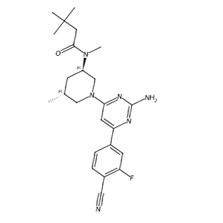 C[C@@H]1C[C@@H](N(C)C(=O)CC(C)(C)C)CN(c2cc(-c3ccc(C#N)c(F)c3)nc(N)n2)C1